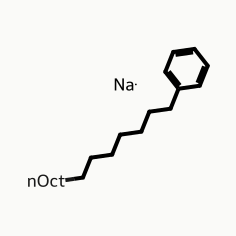 CCCCCCCCCCCCCCCc1ccccc1.[Na]